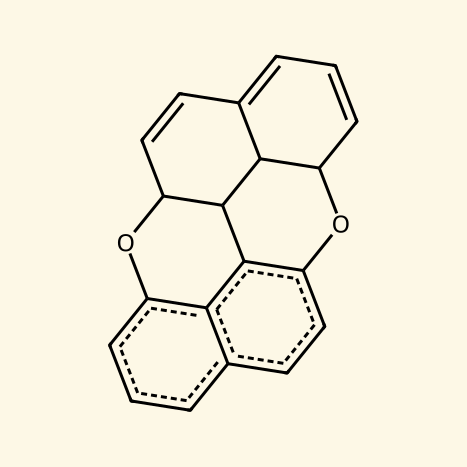 C1=CC2Oc3ccc4cccc5c4c3C3C(C=CC(=C1)C23)O5